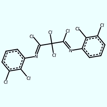 ClC(=Nc1cccc(Cl)c1Cl)C(Cl)(Cl)C(Cl)=Nc1cccc(Cl)c1Cl